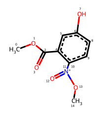 COC(=O)c1cc(O)ccc1[N+](=O)OC